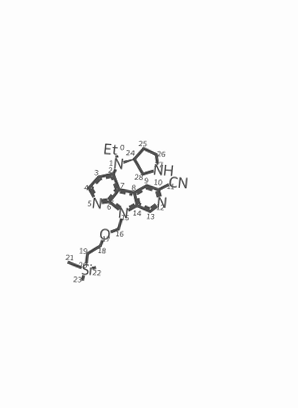 CCN(c1ccnc2c1c1cc(C#N)ncc1n2COCC[Si](C)(C)C)[C@H]1CCNC1